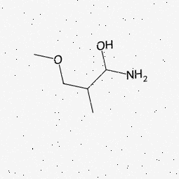 COCC(C)C(N)O